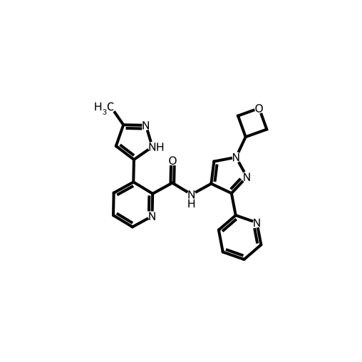 Cc1cc(-c2cccnc2C(=O)Nc2cn(C3COC3)nc2-c2ccccn2)[nH]n1